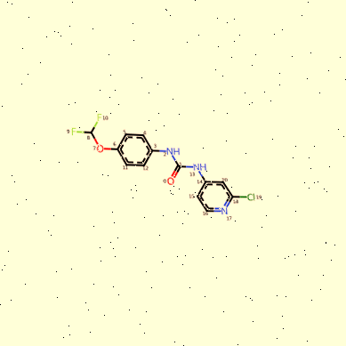 O=C(Nc1ccc(OC(F)F)cc1)Nc1ccnc(Cl)c1